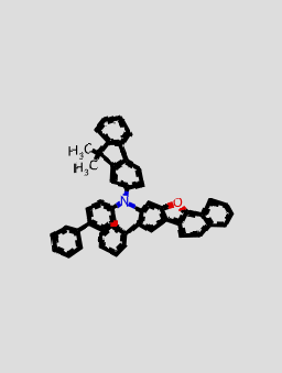 CC1(C)c2ccccc2-c2ccc(N(c3ccc(-c4ccccc4)cc3)c3cc4oc5c6ccccc6ccc5c4cc3-c3ccccc3)cc21